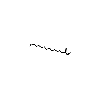 CCCCCCCCCCCCCC(=O)[C]=O